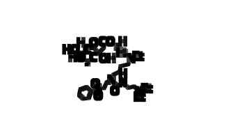 CCN(CC)CCCCN(CCS(=O)(=O)c1ccccc1)C(=O)NCCN(CC)CC.O.O=C(O)CC(O)(CC(=O)O)C(=O)O